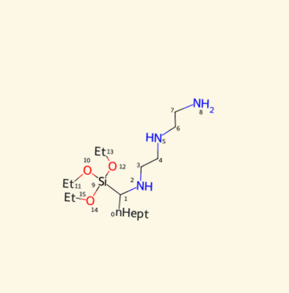 CCCCCCCC(NCCNCCN)[Si](OCC)(OCC)OCC